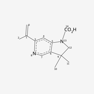 C=C(C)c1cc2c(cn1)C(C)(C)CN2C(=O)O